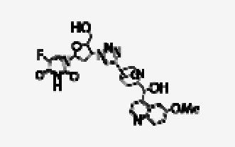 COc1ccc2nccc(C(O)C3CC4CCN3CC4c3cn(C4CC(n5cc(F)c(=O)[nH]c5=O)OC4CO)nn3)c2c1